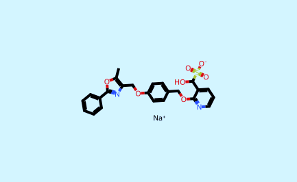 Cc1oc(-c2ccccc2)nc1COc1ccc(COc2ncccc2C(O)S(=O)(=O)[O-])cc1.[Na+]